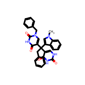 Cn1cc(C(Cc2ccccc2)(c2c[nH]c(=O)[nH]c2=O)c2cn(Cc3ccccc3)c(=O)[nH]c2=O)c2ccccc21